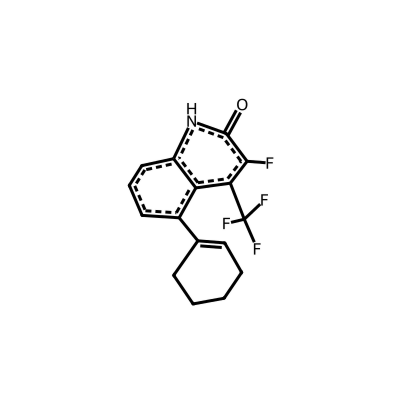 O=c1[nH]c2cccc(C3=CCCCC3)c2c(C(F)(F)F)c1F